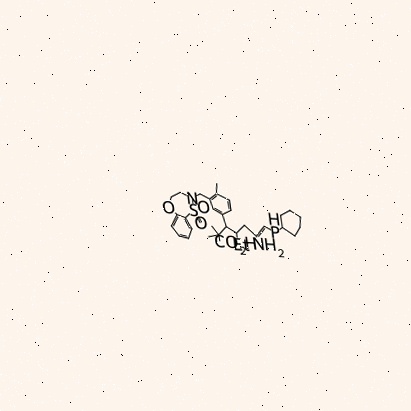 CCC(C/C(N)=C/PC1CCCCC1)C(c1ccc(C)c(CN2CCOc3ccccc3S2(=O)=O)c1)C(C)(C)C(=O)O